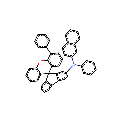 c1ccc(-c2cccc3c2Oc2ccccc2C32c3ccccc3-c3ccc(N(c4ccccc4)c4ccc5ccccc5c4)cc32)cc1